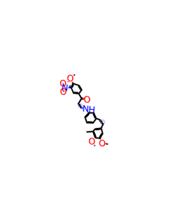 COc1ccc(C(=O)/C=C\Nc2cccc(/C=C\c3cc(C)c(OC)c(OC)c3)c2)cc1[N+](=O)[O-]